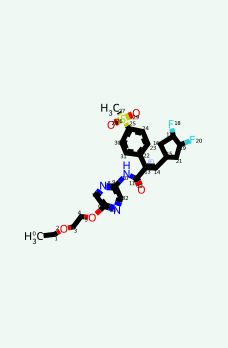 CCOCCOc1cnc(NC(=O)/C(=C/C2CC(F)C(F)C2)c2ccc(S(C)(=O)=O)cc2)cn1